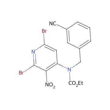 CCOC(=O)N(Cc1cccc(C#N)c1)c1cc(Br)nc(Br)c1[N+](=O)[O-]